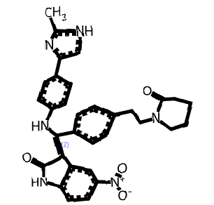 Cc1nc(-c2ccc(N/C(=C3\C(=O)Nc4ccc([N+](=O)[O-])cc43)c3ccc(CCN4CCCCC4=O)cc3)cc2)c[nH]1